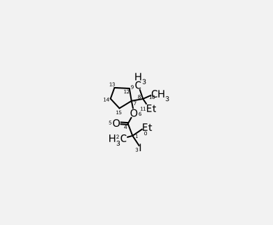 CCC(C)(I)C(=O)OC1(C(C)(C)CC)CCCC1